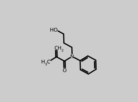 C=C(C)C(=O)N(CCCO)c1ccccc1